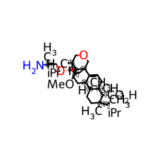 CO[C@@H]1C[C@]23COC[C@](C)([C@@H]2CC[C@H]2C3=CC[C@@]3(C)[C@H](C(=O)O)[C@@](C)([C@H](C)C(C)C)CC[C@]23C)[C@H]1OC[C@@](C)(N)C(C)C